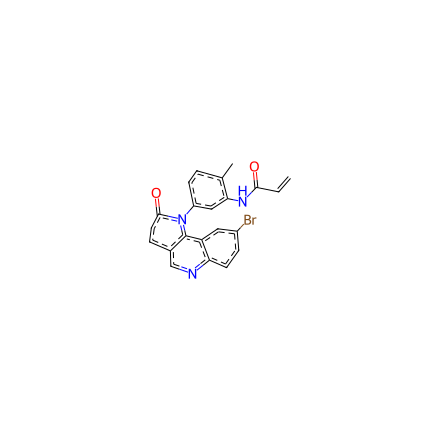 C=CC(=O)Nc1cc(-n2c(=O)ccc3cnc4ccc(Br)cc4c32)ccc1C